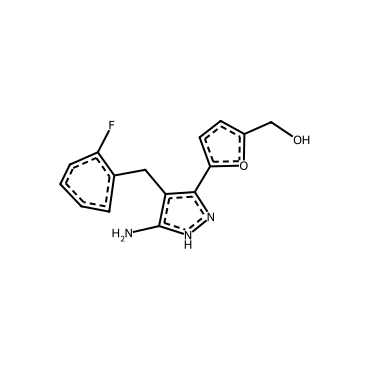 Nc1[nH]nc(-c2ccc(CO)o2)c1Cc1ccccc1F